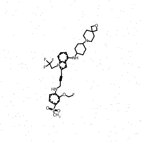 CS(=O)(=O)c1ccc(NCC#Cc2cc3c(NC4CCC(N5CCC6(CC5)COC6)CC4)cccc3n2CC(F)(F)F)c(OCF)c1